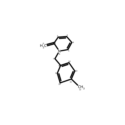 C=C1C=CC=CN1Cc1ccc(C)cc1